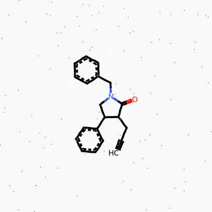 C#CCC1C(=O)N(Cc2ccccc2)CC1c1ccccc1